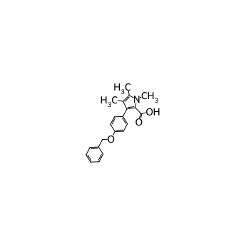 Cc1c(-c2ccc(OCc3ccccc3)cc2)c(C(=O)O)n(C)c1C